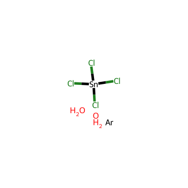 O.O.[Ar].[Cl][Sn]([Cl])([Cl])[Cl]